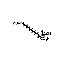 CCCCCCCCCCCCCCCCCCCCSCC(NCOO)C(=O)O